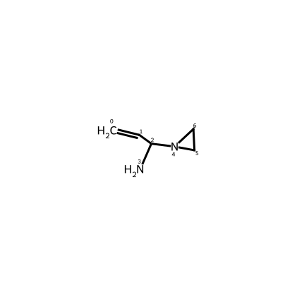 C=CC(N)N1CC1